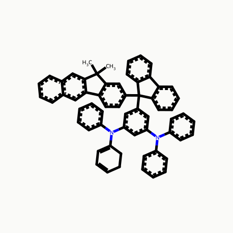 CC1(C)c2cc(C3(c4cc(N(C5=CC=CCC5)c5ccccc5)cc(N(c5ccccc5)c5ccccc5)c4)c4ccccc4-c4ccccc43)ccc2-c2cc3ccccc3cc21